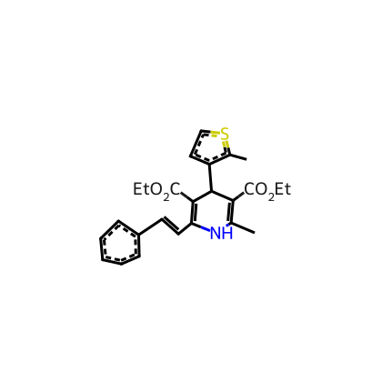 CCOC(=O)C1=C(C)NC(C=Cc2ccccc2)=C(C(=O)OCC)C1c1ccsc1C